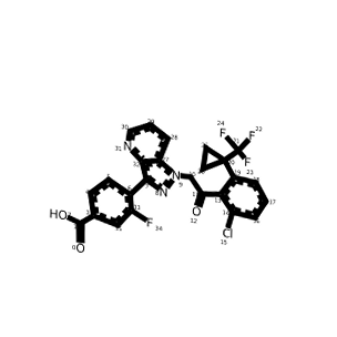 O=C(O)c1ccc(-c2nn(CC(=O)c3c(Cl)cccc3C3(C(F)(F)F)CC3)c3cccnc23)c(F)c1